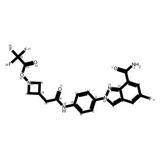 NC(=O)c1cc(F)cc2cn(-c3ccc(NC(=O)CC4CN(OC(=O)C(F)(F)F)C4)cc3)nc12